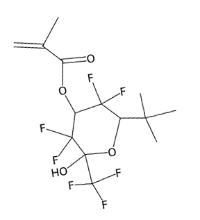 C=C(C)C(=O)OC1C(F)(F)C(C(C)(C)C)OC(O)(C(F)(F)F)C1(F)F